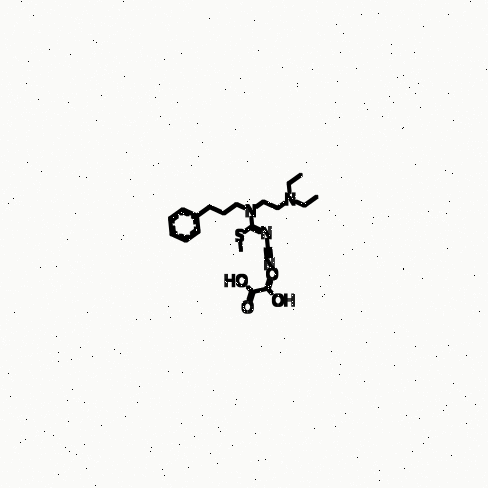 CCN(CC)CCN(CCCc1ccccc1)C(=NC#N)SC.O=C(O)C(=O)O